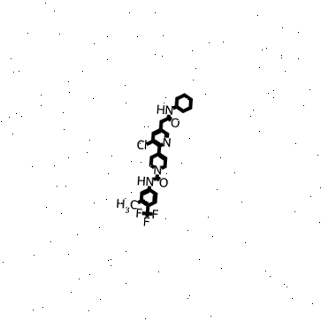 Cc1cc(NC(=O)N2CC=C(c3ncc(CC(=O)NC4CCCCC4)cc3Cl)CC2)ccc1C(F)(F)F